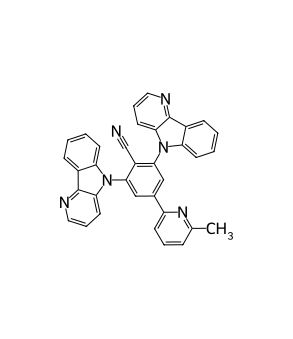 Cc1cccc(-c2cc(-n3c4ccccc4c4ncccc43)c(C#N)c(-n3c4ccccc4c4ncccc43)c2)n1